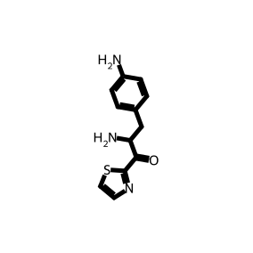 Nc1ccc(CC(N)C(=O)c2nccs2)cc1